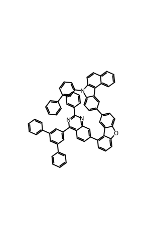 c1ccc(-c2cc(-c3ccccc3)cc(-c3nc(-c4ccccc4)nc4cc(-c5cccc6oc7ccc(-c8ccc9c(c8)c8c%10ccccc%10ccc8n9-c8cccc(-c9ccccc9)c8)cc7c56)ccc34)c2)cc1